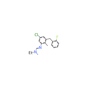 CCN(C)C=Nc1cc(Cl)cc(Cc2ccccc2F)c1C